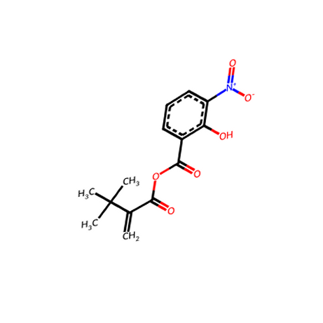 C=C(C(=O)OC(=O)c1cccc([N+](=O)[O-])c1O)C(C)(C)C